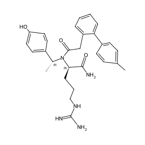 Cc1ccc(-c2ccccc2CC(=O)N([C@H](CCCNC(=N)N)C(N)=O)[C@H](C)c2ccc(O)cc2)cc1